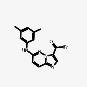 Cc1cc(C)cc(Nc2ccc3ncc(C(=O)C(C)C)n3n2)c1